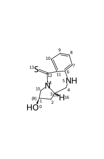 O[C@@H]1C[C@H]2CNc3ccccc3C(=S)N2C1